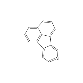 [c]1ccc2cccc3c2c1-c1ccncc1-3